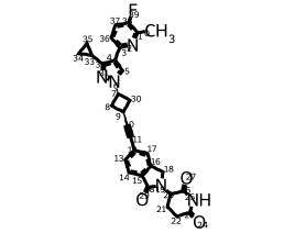 Cc1nc(-c2cn([C@H]3C[C@H](C#Cc4ccc5c(c4)CN(C4CCC(=O)NC4=O)C5=O)C3)nc2C2CC2)ccc1F